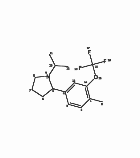 Cc1ccc(C2CCCN2C(C)C)cc1OC(F)(F)F